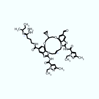 CCC(C)/N=C(/CCCNC(=O)c1cc2c3c(c1)nc(NC(=O)c1cc(C)nn1CC)n3C/C=C/Cn1c(NC(=O)c3cc(C)nn3CC)nc3cc(C=O)cc(c31)OCC(N1CC1)CO2)NN